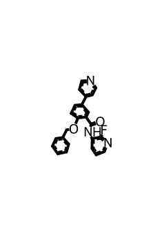 O=C(Nc1cccnc1F)c1cc(-c2ccncc2)ccc1OCc1ccccc1